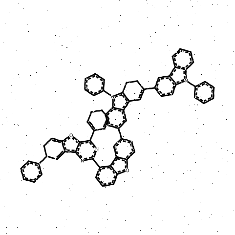 C1=CC(c2nc(-c3cccc4oc5ccc(-c6ccc7c(c6)c6c(n7-c7ccccc7)CCC(c7ccc8c(c7)c7ccccc7n8-c7ccccc7)=C6)cc5c34)nc3c4c(oc23)=CCC(c2ccccc2)C=4)=CCC1